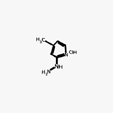 Cc1ccnc(NN)c1.Cl